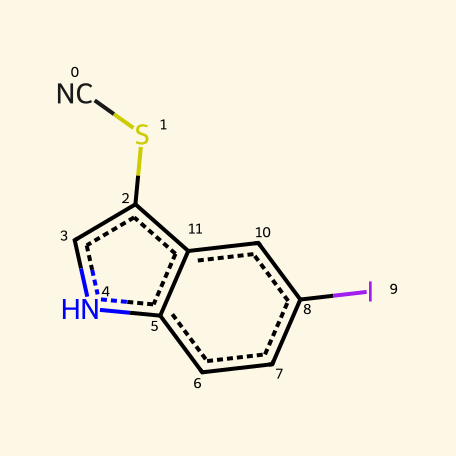 N#CSc1c[nH]c2ccc(I)cc12